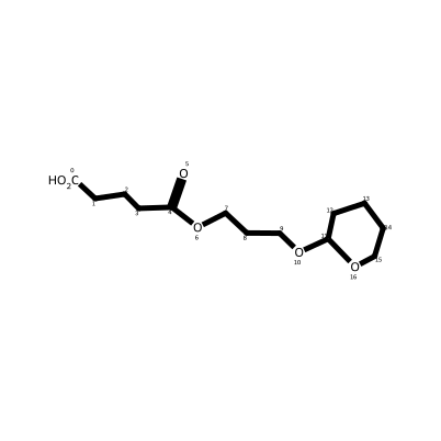 O=C(O)CCCC(=O)OCCCOC1CCCCO1